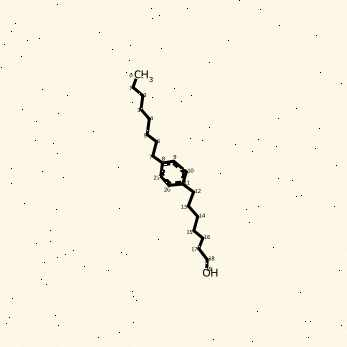 CCCCCCCCc1ccc(CCCCCCCO)cc1